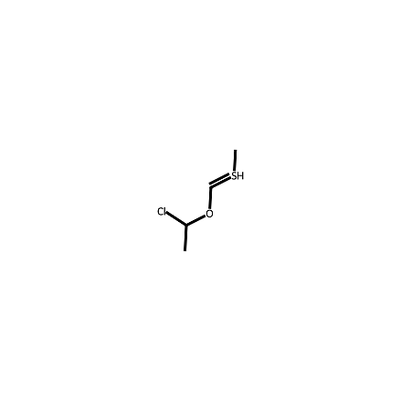 C[SH]=COC(C)Cl